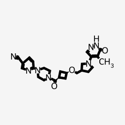 Cc1c(N2CCC(CO[C@H]3C[C@H](C(=O)N4CCN(c5ccc(C#N)cn5)CC4)C3)C2)cn[nH]c1=O